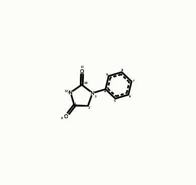 O=C1CN(c2ccccc2)C(=O)[N]1